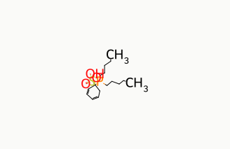 CCCCCP(CCCCC)C1(S(=O)(=O)O)C=CC=CC1